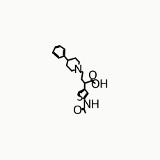 CC(=O)Nc1cc(C(CCN2CCC(c3ccccc3)CC2)C(=O)O)cs1